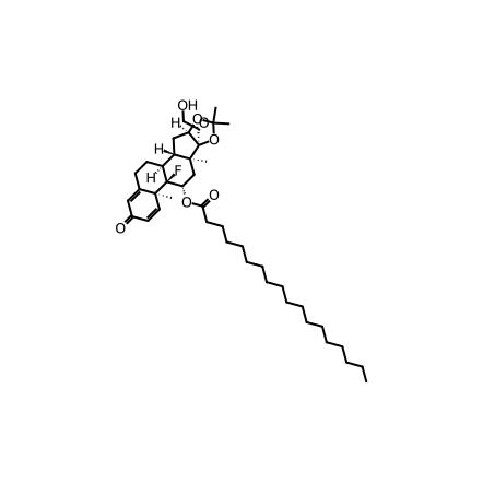 CCCCCCCCCCCCCCCCCC(=O)O[C@H]1C[C@@]2(C)[C@@H](C[C@H]3OC(C)(C)O[C@]32C(=O)CO)[C@@H]2CCC3=CC(=O)C=C[C@]3(C)[C@@]12F